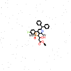 C#COC(=O)CC(O)C(c1c(-c2ccc(F)cc2)cc(C(c2ccccc2)c2ccccc2)nc1C(C)C)[PH](=O)OC